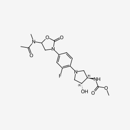 COC(=O)N[C@@H]1CN(c2ccc(N3CC(N(C)C(C)=O)OC3=O)cc2F)C[C@H]1O